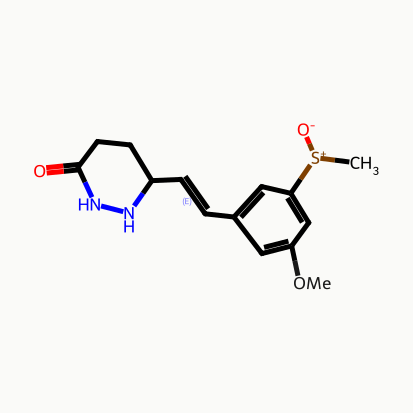 COc1cc(/C=C/C2CCC(=O)NN2)cc([S+](C)[O-])c1